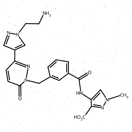 Cn1cc(NC(=O)c2cccc(Cn3nc(-c4cnn(CCN)c4)ccc3=O)c2)c(C(=O)O)n1